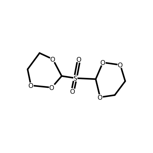 O=S(=O)(C1OCCOO1)C1OCCOO1